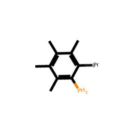 Cc1c(C)c(C)c(C(C)C)c(P)c1C